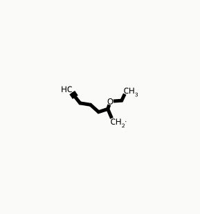 C#CCCCC([CH2])OCC